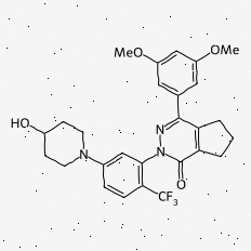 COc1cc(OC)cc(-c2nn(-c3cc(N4CCC(O)CC4)ccc3C(F)(F)F)c(=O)c3c2CCC3)c1